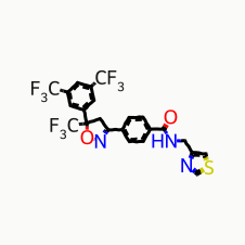 O=C(NCc1cscn1)c1ccc(C2=NOC(c3cc(C(F)(F)F)cc(C(F)(F)F)c3)(C(F)(F)F)C2)cc1